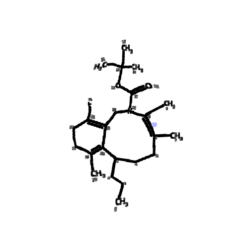 CCCC1CC/C(C)=C(/C)N(C(=O)OC(C)(C)C)CC2=C(F)CCC(C)=C21